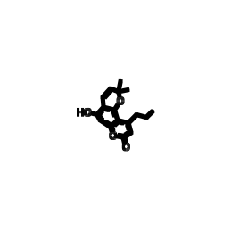 CCCc1cc(=O)oc2cc(O)c3c(c12)OC(C)(C)C=C3